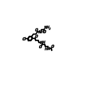 CC(=O)NCCCC(=O)NCCCC(=O)c1ccc(Cl)cc1CCC(=O)NCC(N)=O